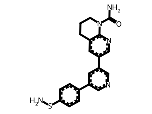 NSc1ccc(-c2cncc(-c3cnc4c(c3)CCCN4C(N)=O)c2)cc1